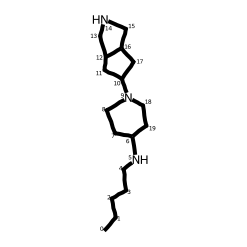 CCCCCNC1CCN(C2CC3CNCC3C2)CC1